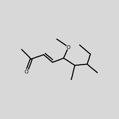 CCC(C)C(C)C(C=CC(C)=O)OC